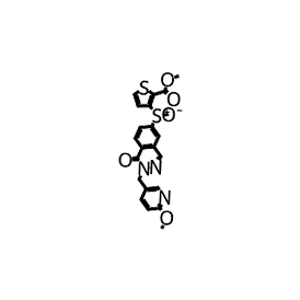 COC(=O)c1sccc1[S+]([O-])c1ccc2c(=O)n(Cc3ccc(OC)nc3)ncc2c1